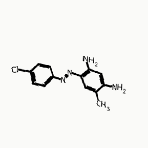 Cc1cc(/N=N/c2ccc(Cl)cc2)c(N)cc1N